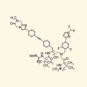 CNC(=O)N[C@H](C(=O)N[C@@H](Cc1ccc(C#Cc2ccc(-c3cn4c(n3)CN(C)C(=O)C4)cc2)cc1)[C@@H](O)CN(CC(=O)[C@@H](NC(=O)O)C(C)(C)C(F)(F)F)Cc1c(F)cc(-c2ccn(C(F)F)n2)cc1F)C(C)(C)C(F)(F)F